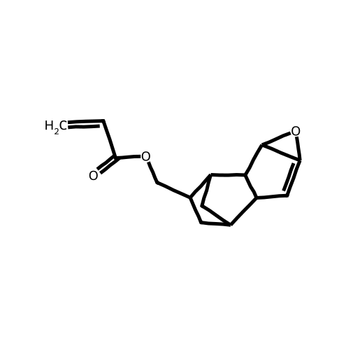 C=CC(=O)OCC1CC2CC1C1C3OC3=CC21